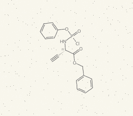 C#C[C@H](NP(=O)(Cl)Oc1ccccc1)C(=O)OCc1ccccc1